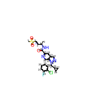 C[C@H](/C=C/S(C)(=O)=O)NC(=O)c1cc2cnn([C@@H](c3cccc(F)c3Cl)C3CC3)c2cn1